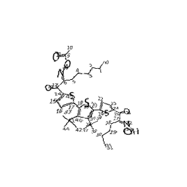 CCCCCC/C(=N\OC(C)=O)C(=O)c1ccc(-c2sc(-c3ccc(C(=O)/C(CCCC)=N/O)s3)c(C(C)(C)C)c2C(C)(C)C)s1